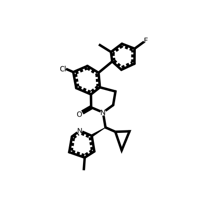 Cc1ccnc([C@H](C2CC2)N2CCc3c(cc(Cl)cc3-c3ccc(F)cc3C)C2=O)c1